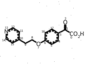 O=C(O)C(=O)c1ccc(OCCc2ccncc2)cc1